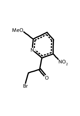 COc1ccc([N+](=O)[O-])c(C(=O)CBr)n1